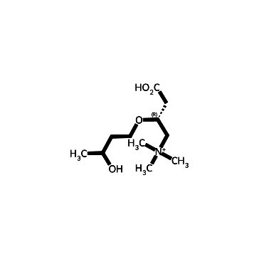 CC(O)CCO[C@H](CC(=O)O)C[N+](C)(C)C